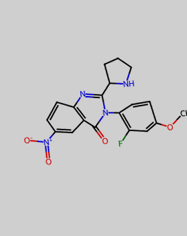 COc1ccc(-n2c(C3CCCN3)nc3ccc([N+](=O)[O-])cc3c2=O)c(F)c1